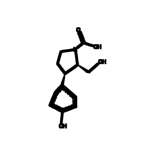 O=C(O)N1CC[C@@H](c2ccc(O)cc2)[C@H]1CO